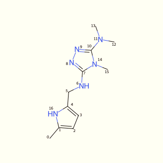 Cc1ccc(CNc2nnc(N(C)C)n2C)[nH]1